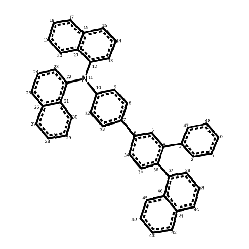 c1ccc(-c2cc(-c3ccc(N(c4cccc5ccccc45)c4cccc5ccccc45)cc3)ccc2-c2cccc3ccccc23)cc1